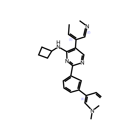 C=C/C(=C\N(C)C)c1cccc(-c2ncc(C(/C=N\C)=C/C)c(NC3CCC3)n2)c1